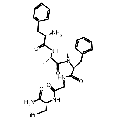 CC(C)C[C@H](NC(=O)CNC(=O)[C@H](Cc1ccccc1)N(C)C(=O)[C@H](C)NC(=O)[C@@H](N)Cc1ccccc1)C(N)=O